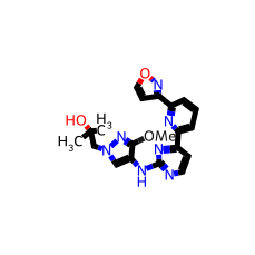 COc1nn(CC(C)(C)O)cc1Nc1nccc(-c2cccc(-c3ccon3)n2)n1